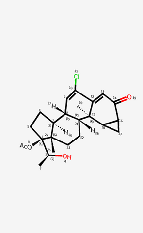 CC(=O)O[C@@]1([C@H](C)O)CC[C@H]2[C@@H]3C=C(Cl)C4=CC(=O)C5CC5[C@@]4(C)[C@@H]3CC[C@@]21C